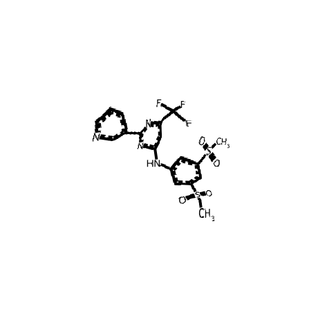 CS(=O)(=O)c1cc(Nc2cc(C(F)(F)F)nc(-c3cccnc3)n2)cc(S(C)(=O)=O)c1